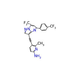 Cc1nc(N)ccc1C#Cc1cnn2c(C(F)(F)F)cc(-c3ccc(C(F)(F)F)cc3)nc12